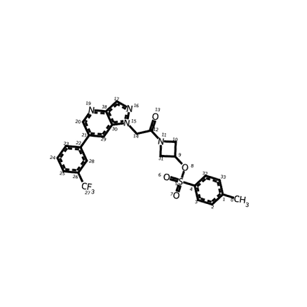 Cc1ccc(S(=O)(=O)OC2CN(C(=O)Cn3ncc4ncc(-c5cccc(C(F)(F)F)c5)cc43)C2)cc1